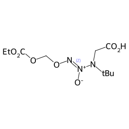 CCOC(=O)OCO/N=[N+](\[O-])N(CC(=O)O)C(C)(C)C